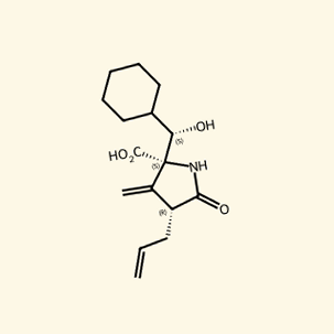 C=CC[C@@H]1C(=C)[C@@](C(=O)O)([C@@H](O)C2CCCCC2)NC1=O